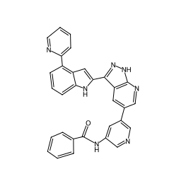 O=C(Nc1cncc(-c2cnc3[nH]nc(-c4cc5c(-c6ccccn6)cccc5[nH]4)c3c2)c1)c1ccccc1